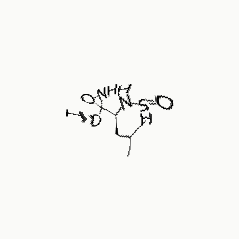 CC(C)C[C@H](N[SH]=O)C1(O)NO1